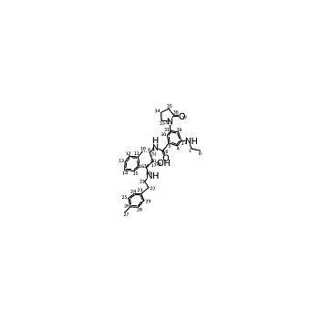 CCNc1cc(C(=O)N[C@@H](Cc2ccccc2)[C@H](O)CNCCc2ccc(C)cc2)cc(N2CCCC2=O)c1